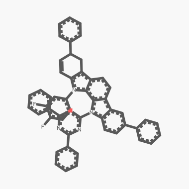 Fc1ccc(-n2c3c(c4ccc5c6cc(-c7ccccc7)ccc6n(-c6nc(-c7ccccc7)nc(-c7ccccc7)n6)c5c42)CC(c2ccccc2)C=C3)cc1F